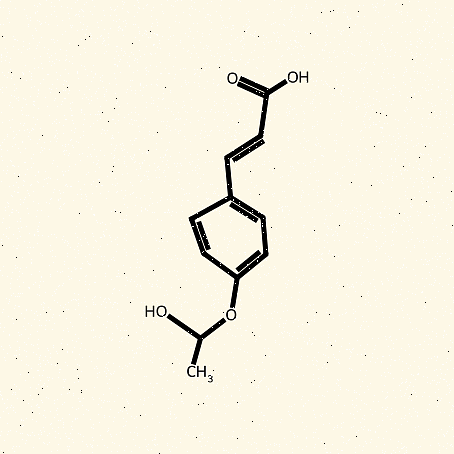 CC(O)Oc1ccc(C=CC(=O)O)cc1